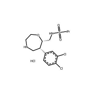 CC(C)S(=O)(=O)NC[C@H]1OCCNC[C@H]1c1ccc(Cl)c(Cl)c1.Cl